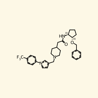 O=C(CC1CCN(Cc2ccn(-c3ccc(C(F)(F)F)cc3)c2)CC1)N[C@H]1CCC[C@@H]1OCc1ccccc1